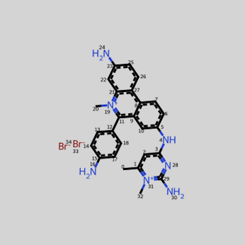 Cc1cc(Nc2ccc3c(c2)c(-c2ccc(N)cc2)[n+](C)c2cc(N)ccc32)nc(N)[n+]1C.[Br-].[Br-]